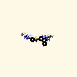 CC(C)c1ncc(-c2ccc3cc(-c4ccc5c(c4)c4ccccc4c4nc(C(C)C)[nH]c54)sc3c2)[nH]1